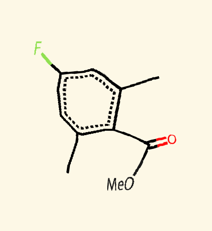 COC(=O)c1c(C)cc(F)cc1C